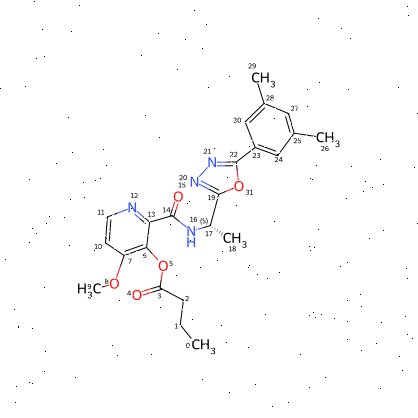 CCCC(=O)Oc1c(OC)ccnc1C(=O)N[C@@H](C)c1nnc(-c2cc(C)cc(C)c2)o1